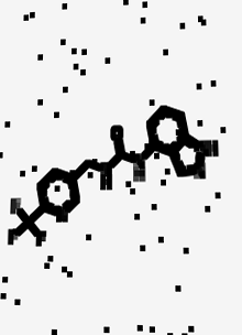 O=C(NCc1ccc(C(F)(F)F)nc1)Nc1cccc2[nH]ncc12